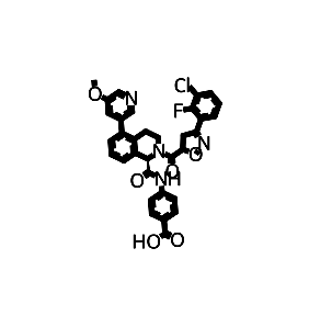 COc1cncc(-c2cccc3c2CCN(C(=O)C2CC(c4cccc(Cl)c4F)=NO2)[C@H]3C(=O)Nc2ccc(C(=O)O)cc2)c1